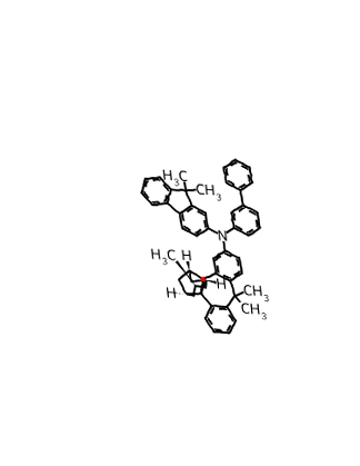 CC1(C)c2ccccc2-c2ccc(N(c3cccc(-c4ccccc4)c3)c3ccc4c(c3)C3[C@H]5C[C@@H]6C[C@@H](C)C[C@@H](C5)C36c3ccccc3C4(C)C)cc21